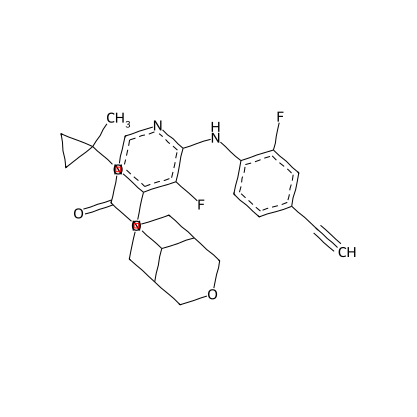 C#Cc1ccc(Nc2ncnc(OC3C4COCC3CN(C(=O)OC3(C)CC3)C4)c2F)c(F)c1